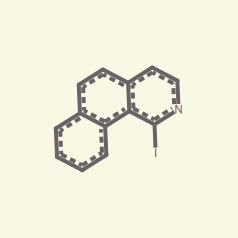 Ic1nccc2ccc3ccccc3c12